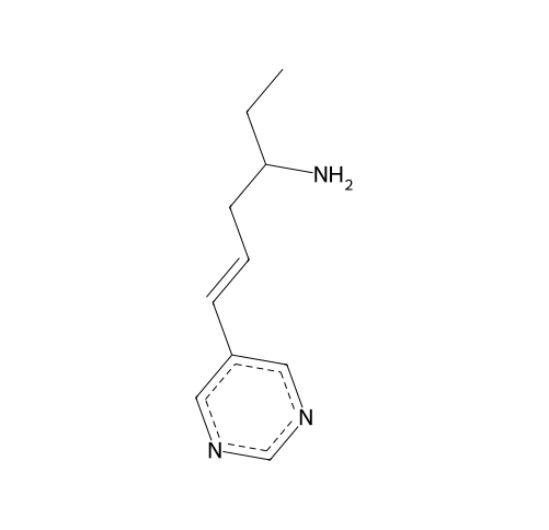 CCC(N)C/C=C/c1cncnc1